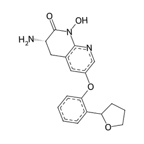 N[C@H]1Cc2cc(Oc3ccccc3C3CCCO3)cnc2N(O)C1=O